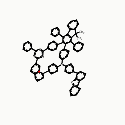 CC1(C)c2ccccc2-c2c(-c3ccccc3)c(-c3ccc(-c4nc(-c5ccccc5)nc(-c5ccccc5)n4)cc3)c(-c3ccc(N(c4ccc(-c5ccccc5)cc4)c4ccc(-c5cccc6c5oc5ccccc56)cc4)cc3)c(-c3ccccc3)c21